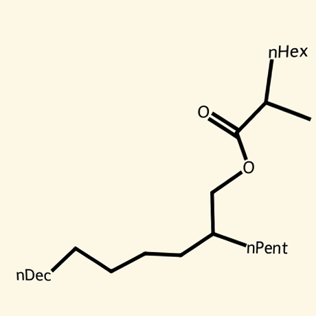 CCCCCCCCCCCCCCC(CCCCC)COC(=O)C(C)CCCCCC